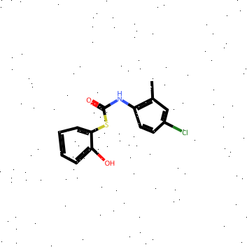 Cc1cc(Cl)ccc1NC(=O)Sc1ccccc1O